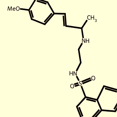 COc1ccc(C=CC(C)NCCNS(=O)(=O)c2cccc3cnccc23)cc1